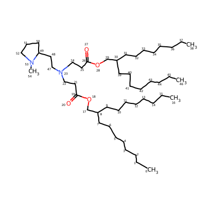 CCCCCCCCC(CCCCCCCC)COC(=O)CCN(CCC(=O)OCC(CCCCCCCC)CCCCCCCC)CCC1CCCN1C